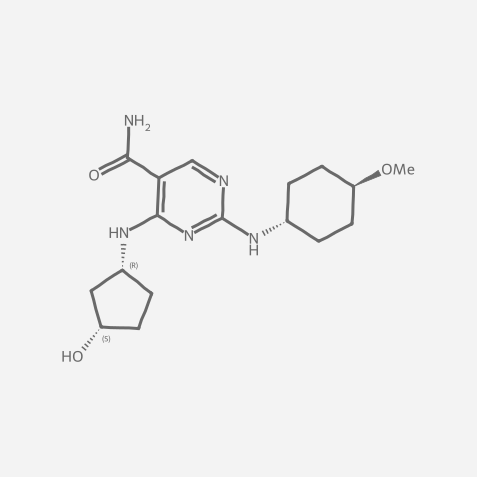 CO[C@H]1CC[C@H](Nc2ncc(C(N)=O)c(N[C@@H]3CC[C@H](O)C3)n2)CC1